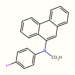 O=C(O)N(c1ccc(I)cc1)c1cc2ccccc2c2ccccc12